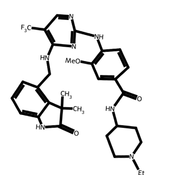 CCN1CCC(NC(=O)c2ccc(Nc3ncc(C(F)(F)F)c(NCc4cccc5c4C(C)(C)C(=O)N5)n3)c(OC)c2)CC1